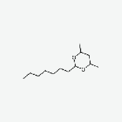 CCCCCCCC1OC(C)CC(C)O1